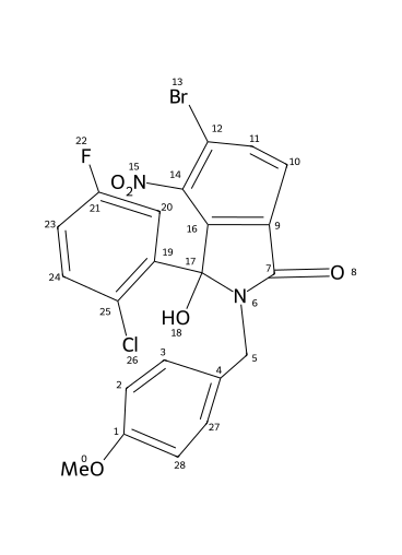 COc1ccc(CN2C(=O)c3ccc(Br)c([N+](=O)[O-])c3C2(O)c2cc(F)ccc2Cl)cc1